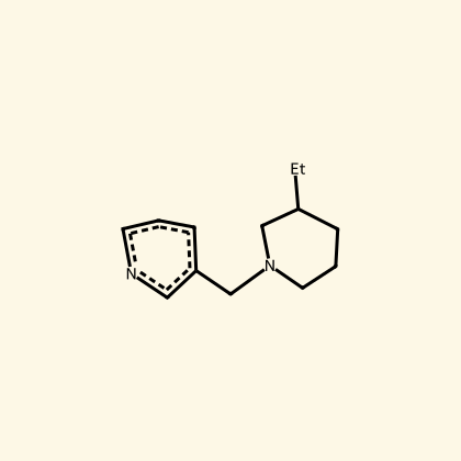 CCC1CCCN(Cc2cccnc2)C1